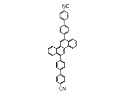 [C-]#[N+]c1ccc(-c2ccc(-c3cc4c5ccccc5c(-c5ccc(-c6ccc(C#N)cc6)cc5)cc4c4ccccc34)cc2)cc1